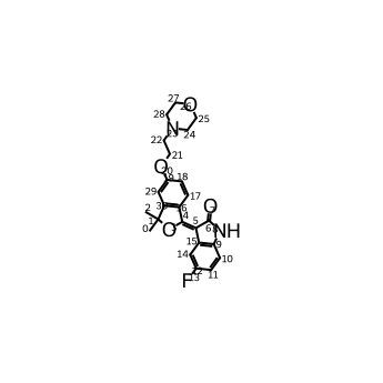 CC1(C)OC(=C2C(=O)Nc3ccc(F)cc32)c2ccc(OCCN3CCOCC3)cc21